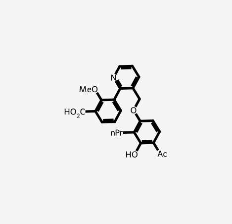 CCCc1c(OCc2cccnc2-c2cccc(C(=O)O)c2OC)ccc(C(C)=O)c1O